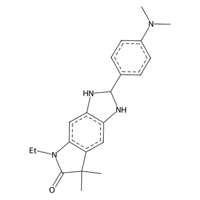 CCN1C(=O)C(C)(C)c2cc3c(cc21)NC(c1ccc(N(C)C)cc1)N3